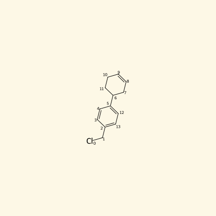 ClCc1ccc(C2CC=CCC2)cc1